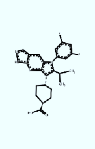 CC(C)c1c([C@H]2CC[C@H](C(=O)O)CC2)c2nc3[nH]ncc3cc2n1-c1cc(F)cc(F)c1